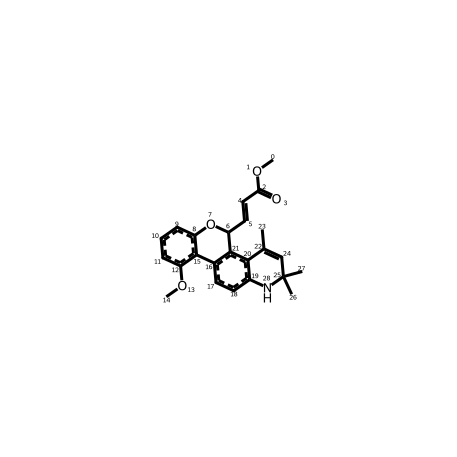 COC(=O)C=CC1Oc2cccc(OC)c2-c2ccc3c(c21)C(C)=CC(C)(C)N3